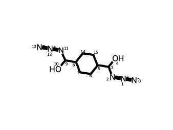 [N-]=[N+]=NC(O)C1CCC(C(O)N=[N+]=[N-])CC1